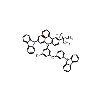 CC(C)(C)c1ccc(N(c2cc(Cl)cc(Oc3cccc(-n4c5ccccc5c5ccccc54)c3)c2)c2cccc(-n3c4ccccc4c4ccccc43)c2)c(-c2ccccc2)c1